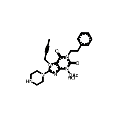 CC#CCn1c(N2CCNCC2)nc2c1c(=O)n(CCc1ccccc1)c(=O)n2OC(C)=O.Cl